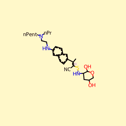 CCCCCN(CCC)CCNc1ccc2cc(/C(C)=C(\C#N)SNC3CC(O)COC3O)ccc2c1